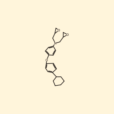 c1cc(C2CCCCC2)ccc1Oc1ccc(N(CC2CO2)CC2CO2)cc1